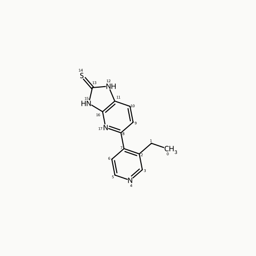 CCc1cnccc1-c1ccc2[nH]c(=S)[nH]c2n1